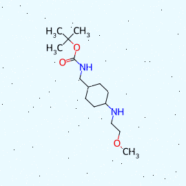 COCCNC1CCC(CNC(=O)OC(C)(C)C)CC1